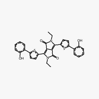 CCN1C(=O)C2=C(c3ccc(-c4ccccc4O)s3)N(CC)C(=O)C2=C1c1ccc(-c2ccccc2O)s1